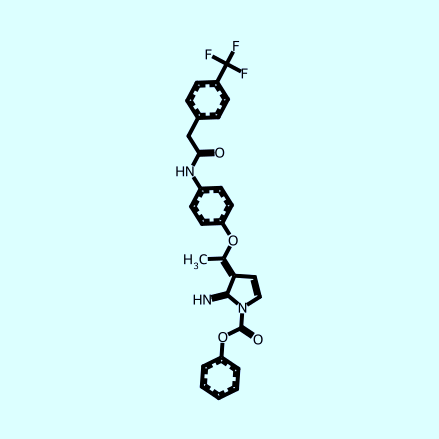 C/C(Oc1ccc(NC(=O)Cc2ccc(C(F)(F)F)cc2)cc1)=C1/C=CN(C(=O)Oc2ccccc2)C1=N